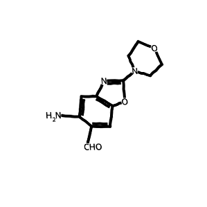 Nc1cc2nc(N3CCOCC3)oc2cc1C=O